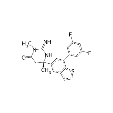 CN1C(=N)N[C@](C)(c2cc(-c3cc(F)cc(F)c3)c3sccc3c2)CC1=O